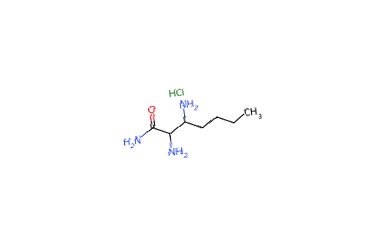 CCCCC(N)C(N)C(N)=O.Cl